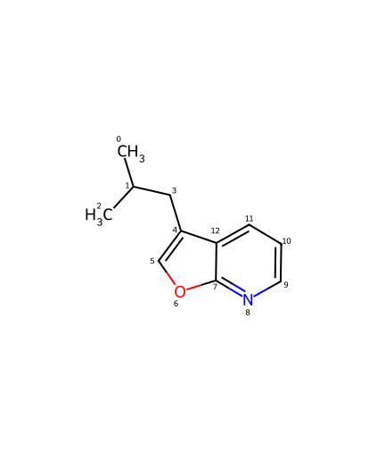 CC(C)Cc1coc2ncccc12